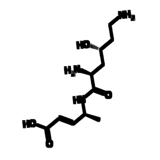 C[C@@H](/C=C/C(=O)O)NC(=O)[C@@H](N)C[C@H](O)CCN